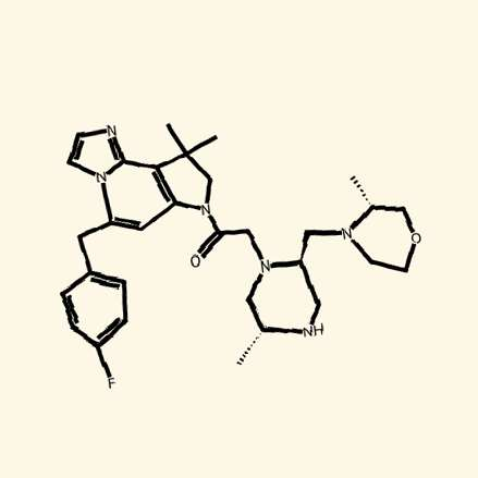 C[C@@H]1CN(CC(=O)N2CC(C)(C)c3c2cc(Cc2ccc(F)cc2)n2ccnc32)[C@@H](CN2CCOC[C@H]2C)CN1